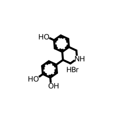 Br.Oc1ccc2c(c1)C(c1ccc(O)c(O)c1)CNC2